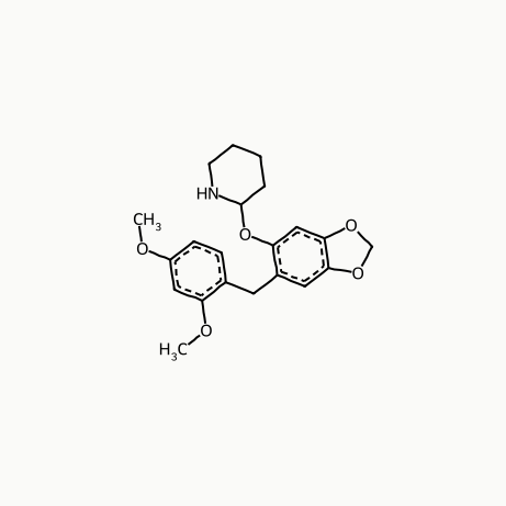 COc1ccc(Cc2cc3c(cc2OC2CCCCN2)OCO3)c(OC)c1